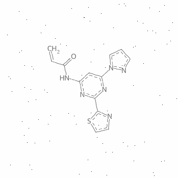 C=CC(=O)Nc1cc(-n2cccn2)nc(-c2nccs2)n1